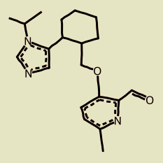 Cc1ccc(OCC2CCCCC2c2cncn2C(C)C)c(C=O)n1